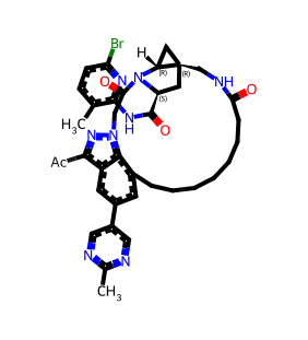 CC(=O)c1nn2c3c(cc(-c4cnc(C)nc4)cc13)CCCCCCCC(=O)NC[C@@]13C[C@@H](C(=O)Nc4nc(Br)ccc4C)N(C(=O)C2)[C@@H]1C3